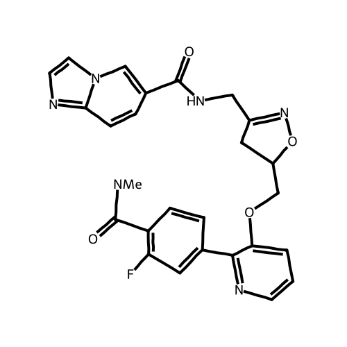 CNC(=O)c1ccc(-c2ncccc2OCC2CC(CNC(=O)c3ccc4nccn4c3)=NO2)cc1F